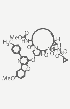 COC(=O)N[C@H]1CCCCC/C=C\[C@@H]2C[C@@]2(C(=O)NS(=O)(=O)C2CC2)NC(=O)[C@@H]2C[C@@H](Oc3cc(-c4ccc(C)cc4)nc4c3OC3C=CC(OC)=CC43)CN2C1=O